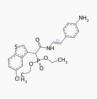 CCOP(=O)(OCC)C(C(=O)N/C=C/c1ccc(N)cc1)c1csc2ccc(Cl)cc12